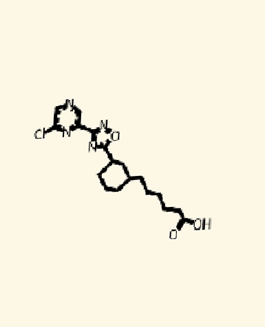 O=C(O)CCCCCC1CCCC(c2nc(-c3cncc(Cl)n3)no2)C1